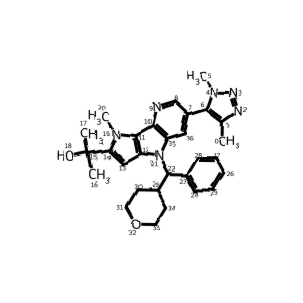 Cc1nnn(C)c1-c1cnc2c3c(cc(C(C)(C)O)n3C)n(C(c3ccccc3)C3CCOCC3)c2c1